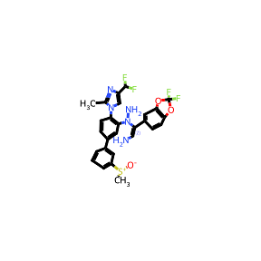 Cc1nc(C(F)F)cn1-c1ccc(-c2cccc([S+](C)[O-])c2)cc1N(N)/C(=C\N)c1ccc2c(c1)OC(F)(F)O2